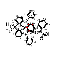 CC1(C)c2cccc(P(c3ccccc3)c3ccccc3)c2Oc2c(P(c3ccccc3)c3ccccc3)cccc21.O=[PH](O)C(O)c1ccccc1